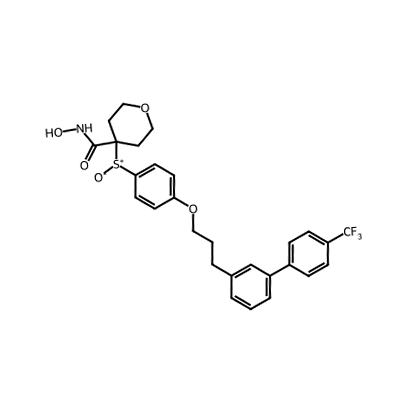 O=C(NO)C1([S+]([O-])c2ccc(OCCCc3cccc(-c4ccc(C(F)(F)F)cc4)c3)cc2)CCOCC1